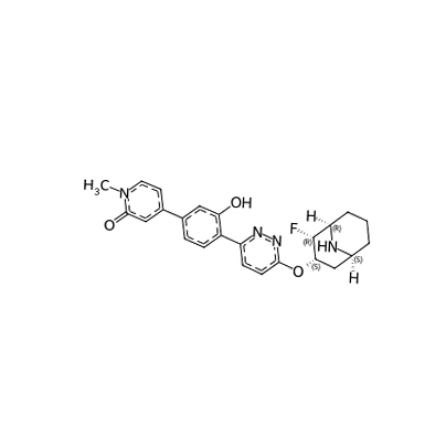 Cn1ccc(-c2ccc(-c3ccc(O[C@H]4C[C@@H]5CCC[C@@H](N5)[C@H]4F)nn3)c(O)c2)cc1=O